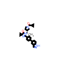 Cc1cc(-c2ccc3[nH]ncc3c2)ccc1C1=NC2(CC2)C(=O)N1C[C@@H]1CCN(C(=O)C2CC2)C1